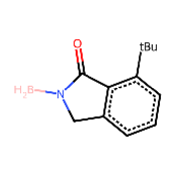 BN1Cc2cccc(C(C)(C)C)c2C1=O